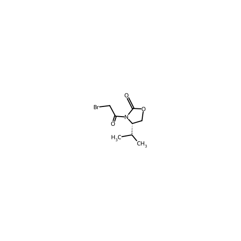 CC(C)[C@H]1COC(=O)N1C(=O)CBr